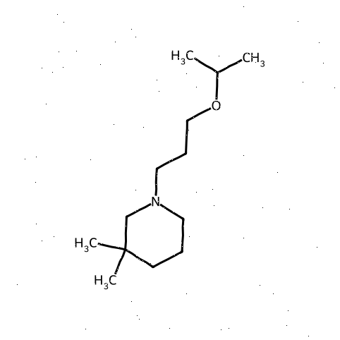 CC(C)OCCCN1CCCC(C)(C)C1